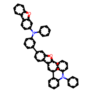 c1ccc(N(c2cccc(-c3ccc4c(c3)oc3ccc(-c5ccccc5N(c5ccccc5)c5ccccc5)cc34)c2)c2ccc3c(c2)oc2ccccc23)cc1